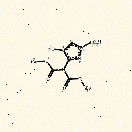 CC(C)(C)OC(=O)N(C(=O)OC(C)(C)C)c1nn(C(=O)O)cc1C#N